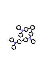 c1ccc(N(c2ccccc2)c2ccc(-c3ccc(N(c4ccccc4)c4ccc(-c5ccccc5-c5ccc(N(c6ccccc6)c6ccccc6)cc5)cc4)cc3)cc2)cc1